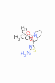 CC(C)(C)OC(=O)N1CCCCC1/C=C/c1csc(N)n1